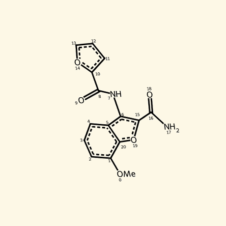 COc1cccc2c(NC(=O)c3ccco3)c(C(N)=O)oc12